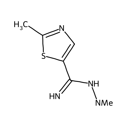 CNNC(=N)c1cnc(C)s1